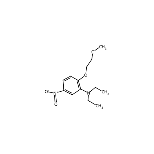 CCN(CC)c1cc([N+](=O)[O-])ccc1OCCOC